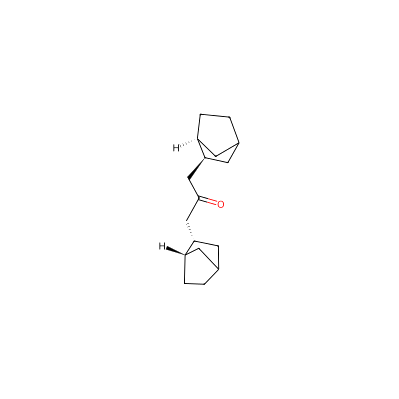 O=C(C[C@@H]1CC2CC[C@H]1C2)C[C@@H]1CC2CC[C@H]1C2